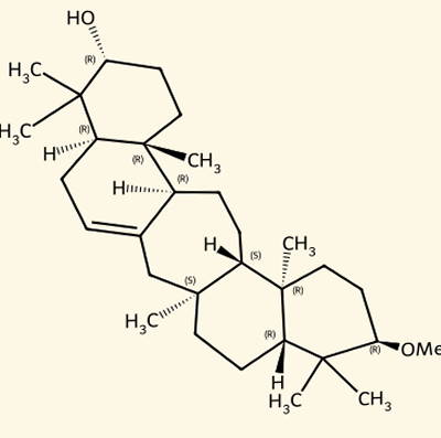 CO[C@@H]1CC[C@@]2(C)[C@@H](CC[C@@]3(C)CC4=CC[C@H]5C(C)(C)[C@H](O)CC[C@]5(C)[C@H]4CC[C@@H]32)C1(C)C